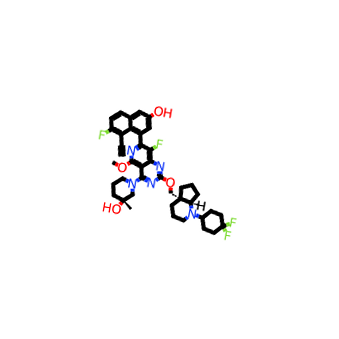 C#Cc1c(F)ccc2cc(O)cc(-c3nc(OC)c4c(N5CCC[C@@](C)(O)C5)nc(OC[C@]56CCC[C@H]5N(C5CCC(F)(F)CC5)CCC6)nc4c3F)c12